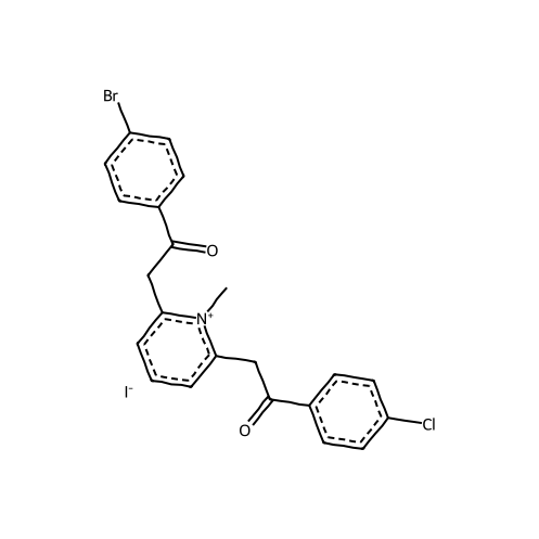 C[n+]1c(CC(=O)c2ccc(Cl)cc2)cccc1CC(=O)c1ccc(Br)cc1.[I-]